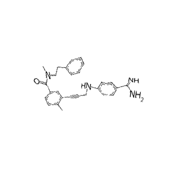 Cc1ccc(C(=O)N(C)CCc2ccccc2)cc1C#CCNc1ccc(C(=N)N)cc1